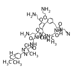 Cc1nc(-c2ccc(C(C)(C)C)cc2)nc(C)c1C(=O)NCC(=O)NC(CCN)C(=O)N(C)C1C(=O)NC(C)C(=O)NC(C(=O)NCC#N)Cc2ccc(OCCN)c(c2)-c2cc1ccc2OCCN